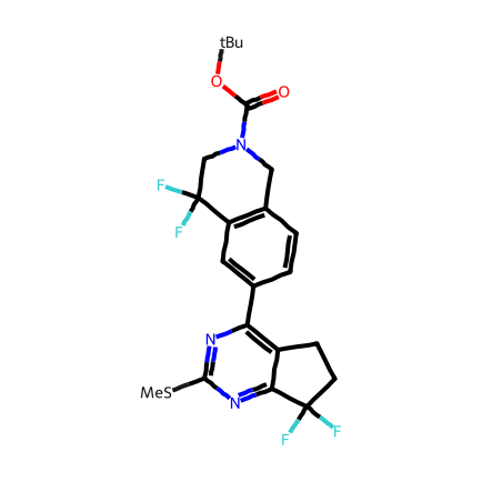 CSc1nc(-c2ccc3c(c2)C(F)(F)CN(C(=O)OC(C)(C)C)C3)c2c(n1)C(F)(F)CC2